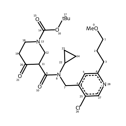 COCCCc1cc(CN(C(=O)C2CN(C(=O)OC(C)(C)C)CCC2=O)C2CC2)c(Cl)cn1